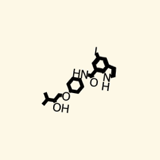 CC(C)C(O)CO[C@H]1CC[C@H](NC(=O)c2cc(I)cc3cc[nH]c23)CC1